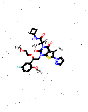 COCCOC(Cn1c(=O)n(C(C)(C)C(=O)NC2CCC2)c(=O)c2c(C)c(-n3cccn3)sc21)c1cc(F)ccc1OC